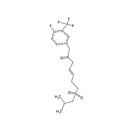 CC(C)CS(=O)(=O)CC/C=C/CC(=O)Cc1ccc(F)c(C(F)(F)F)c1